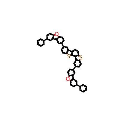 c1ccc(-c2ccc3oc4ccc(-c5ccc6sc7c(ccc8sc9ccc(-c%10ccc%11oc%12ccc(-c%13ccccc%13)cc%12c%11c%10)cc9c87)c6c5)cc4c3c2)cc1